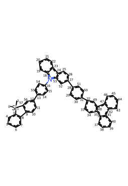 C[Si]1(C)c2ccccc2-c2ccc(-c3ccc(-n4c5ccccc5c5ccc(-c6ccc(-c7ccc8c9ccccc9c9ccccc9c8c7)cc6)cc54)cc3)cc21